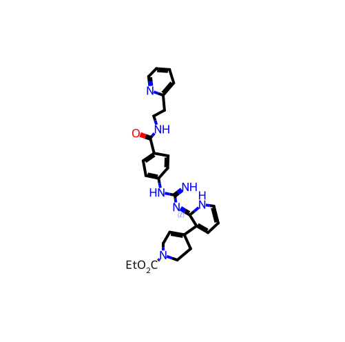 CCOC(=O)N1CC=C(c2ccc[nH]/c2=N\C(=N)Nc2ccc(C(=O)NCCc3ccccn3)cc2)CC1